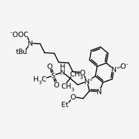 CCOCC1=Nc2c[n+]([O-])c3ccccc3c2[N+]1(CC(C)(C)NS(C)(=O)=O)OCCCCCCN(C(=O)[O-])C(C)(C)C